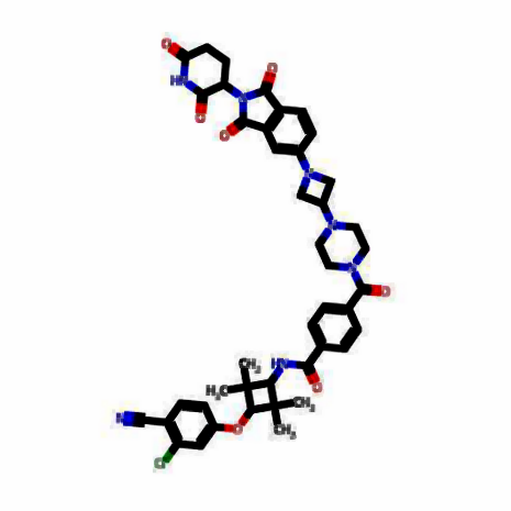 CC1(C)C(NC(=O)c2ccc(C(=O)N3CCN(C4CN(c5ccc6c(c5)C(=O)N(C5CCC(=O)NC5=O)C6=O)C4)CC3)cc2)C(C)(C)C1Oc1ccc(C#N)c(Cl)c1